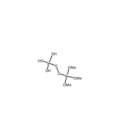 CO[Si](OC)(OC)OO[Si](O)(O)O